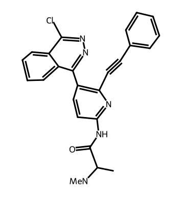 CNC(C)C(=O)Nc1ccc(-c2nnc(Cl)c3ccccc23)c(C#Cc2ccccc2)n1